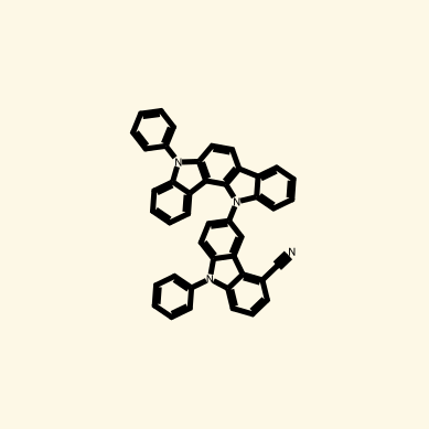 N#Cc1cccc2c1c1cc(-n3c4ccccc4c4ccc5c(c6ccccc6n5-c5ccccc5)c43)ccc1n2-c1ccccc1